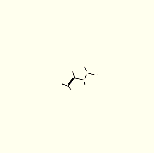 C/C(S)=C(\O)N(C)B(O)O